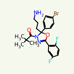 CC(C)(C)C(=O)N1N=C(c2cc(F)ccc2F)OC1(CCCN)c1ccc(Br)cc1